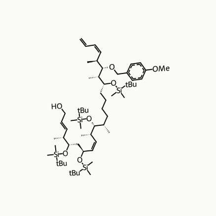 C=C/C=C\[C@H](C)[C@H](OCc1ccc(OC)cc1)[C@@H](C)[C@@H](CCCC[C@H](C)[C@@H](O[Si](C)(C)C(C)(C)C)[C@@H](C)/C=C\[C@H](C[C@H](O[Si](C)(C)C(C)(C)C)[C@H](C)/C=C/CO)O[Si](C)(C)C(C)(C)C)O[Si](C)(C)C(C)(C)C